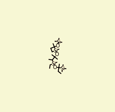 CCC(C)(O[Si](C)(CC)C(C)C(C)(C)O[Si]1(C)CCC1(C)O[Si](C)(C)C)[Si](C)(C)C